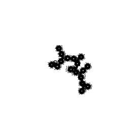 CC1(Cc2ccc3c(c2)c2cc(C4C=CC(N(c5ccc(C6=CCCc7c6oc6ccccc76)cc5)c5ccc(-c6ccccc6)cc5)=CC4)ccc2n3-c2ccccc2)c2cc(N(C3=CCC(c4ccccc4)C=C3)c3ccc(-c4ccc5c(c4)c4ccccc4n5-c4ccccc4)cc3)ccc2C2C=CC=CC21